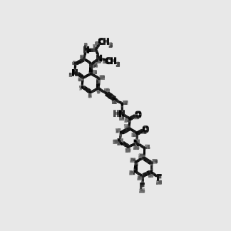 Cc1nc2cnc3ccc(C#CCNC(=O)c4cncn(Cc5ccc(F)c(F)c5)c4=O)cc3c2n1C